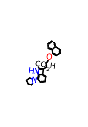 O=C(O)c1[nH]c2c(N3CCCC3)cccc2c1CCCOc1cccc2ccccc12